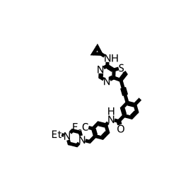 CCN1CCN(Cc2ccc(NC(=O)c3ccc(C)c(C#Cc4csc5c(NC6CC6)ncnc45)c3)cc2C(F)(F)F)CC1